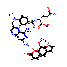 CN(Cc1cnc2nc(N)nc(N)c2n1)c1ccc(C(=O)N[C@@H](CCC(=O)O)C(=O)O)cc1.COc1c2occc2cc2ccc(=O)oc12